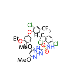 CCOc1cc(Oc2ccc(C(F)(F)F)cc2Cl)ccc1[N+](=O)[O-].COc1cc(OC)n2nc(S(=O)(=O)Nc3c(Cl)ccc(C)c3Cl)nc2n1